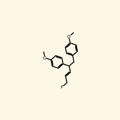 COc1ccc(CC(/C=C/CF)c2ccc(OC)cc2)cc1